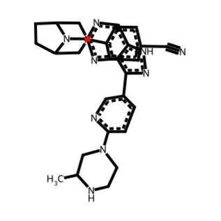 CC1CN(c2ccc(-c3n[nH]c4cnc(N5C6CCC5CN(c5ccc(C#N)cc5)C6)nc34)cn2)CCN1